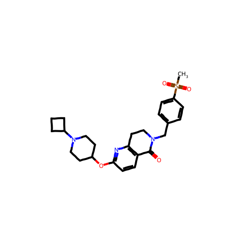 CS(=O)(=O)c1ccc(CN2CCc3nc(OC4CCN(C5CCC5)CC4)ccc3C2=O)cc1